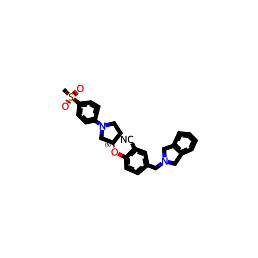 CS(=O)(=O)c1ccc(N2CC[C@H](Oc3ccc(CN4Cc5ccccc5C4)cc3C#N)C2)cc1